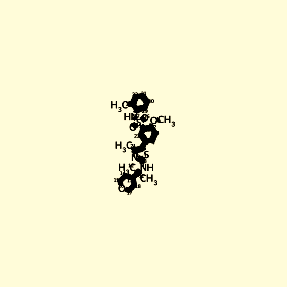 COc1ccc(-c2sc(NC(C)(C)C3CCOCC3)nc2C)cc1S(=O)(=O)Nc1ccccc1C